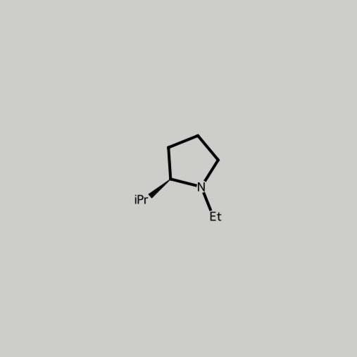 CCN1CCC[C@@H]1C(C)C